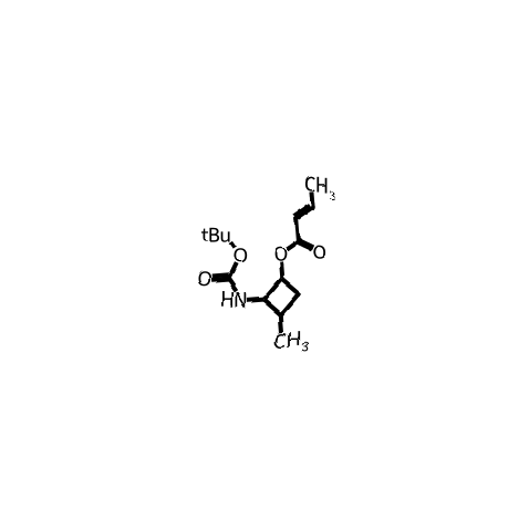 CC=CC(=O)OC1CC(C)C1NC(=O)OC(C)(C)C